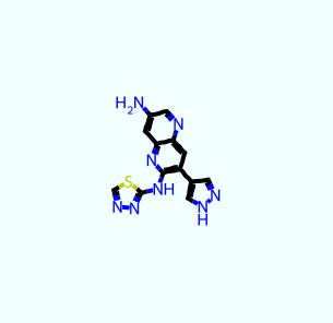 Nc1cnc2cc(-c3cn[nH]c3)c(Nc3nncs3)nc2c1